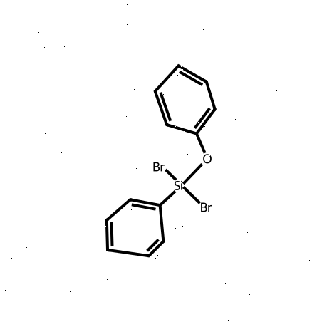 Br[Si](Br)(Oc1ccccc1)c1ccccc1